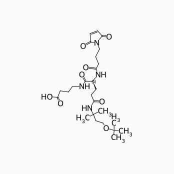 CC(C)(CCOC(C)(C)C)NC(=O)CC[C@H](NC(=O)CCCN1C(=O)C=CC1=O)C(=O)NCCCC(=O)O